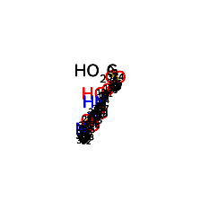 O=C(O)CS(=O)(=O)c1cccc(OC[C@@H](O)CN[C@H]2COC3(CCN(S(=O)(=O)c4cnc5ccccc5c4)CC3)C2)c1